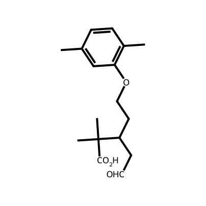 Cc1ccc(C)c(OCCC(CC=O)C(C)(C)C(=O)O)c1